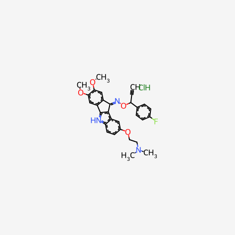 C#CC(ON=C1c2cc(OC)c(OC)cc2-c2[nH]c3ccc(OCCN(C)C)cc3c21)c1ccc(F)cc1.Cl